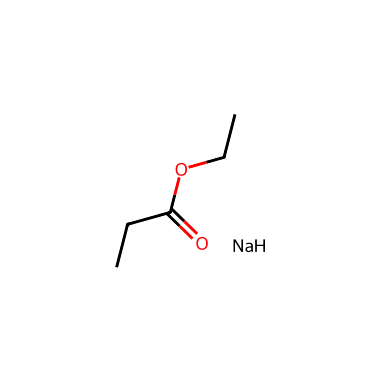 CCOC(=O)CC.[NaH]